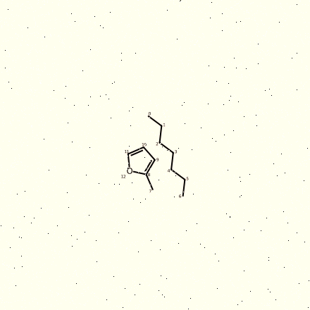 CCCCCCC.Cc1ccco1